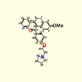 COc1ccc2c(c1)CCC(c1ccccc1)=C2C(=O)c1ccc(OCCN2CCCC2)cc1